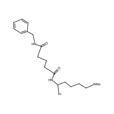 CNCCCCC(NC(=O)CCCC(=O)NCc1ccccc1)C(C)=O